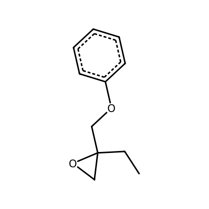 CCC1(COc2ccccc2)CO1